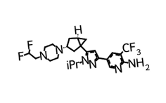 CC(C)n1nc(-c2cnc(N)c(C(F)(F)F)c2)cc1C12C[C@H](N3CCN(CC(F)F)CC3)C[C@H]1C2